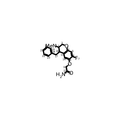 CNC1COc2cc(F)c(OCC(N)=O)cc2C1Cc1ccccc1